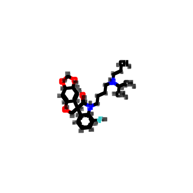 CCCN(CCCCN1C(=O)C2(COC3=CC4OCOC4C=C32)c2cccc(F)c21)C(C)C